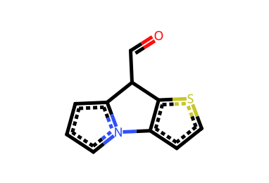 O=CC1c2sccc2-n2cccc21